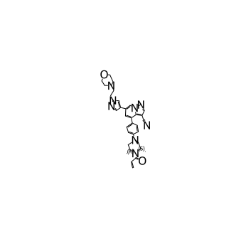 C=CC(=O)N1[C@H](C)CN(c2ccc(-c3cc(-c4cnn(CCN5CCOCC5)c4)cn4ncc(C#N)c34)cc2)C[C@@H]1C